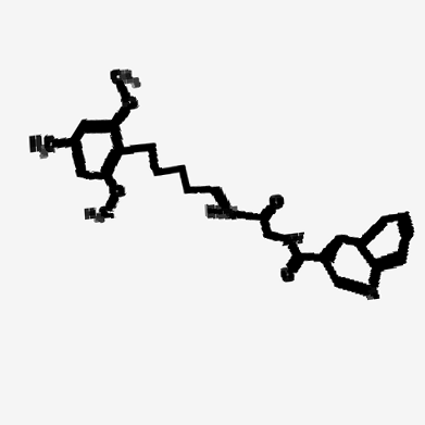 COc1cc(C)cc(OC)c1CCCCCNC(=O)CNC(=O)c1cnc2ccccc2c1